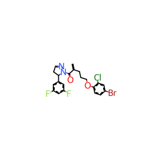 C=C(CCCOc1ccc(Br)cc1Cl)C(=O)N1N=CCC1c1cc(F)cc(F)c1